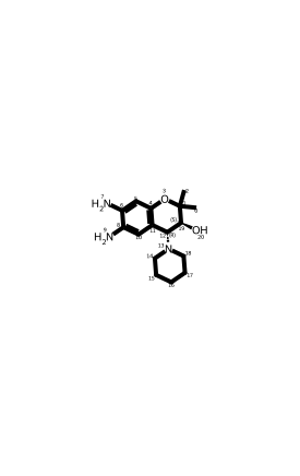 CC1(C)Oc2cc(N)c(N)cc2[C@@H](N2CCCCC2)[C@@H]1O